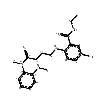 CCOC(=O)c1cc(F)ccc1SCCCC(=O)N(C)c1ccccc1OC